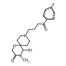 CCC1N(C)C(=O)COC12CCN(CCCC(=O)c1ccc(F)cc1)CC2